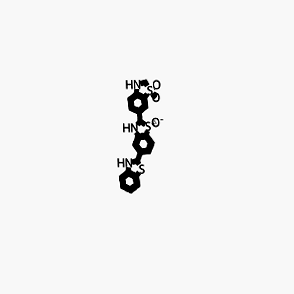 O=S1(=O)CNc2ccc(C3Nc4cc(C5Nc6ccccc6S5)ccc4[S+]3[O-])cc21